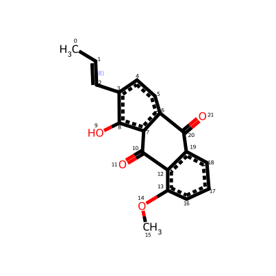 C/C=C/c1ccc2c(c1O)C(=O)c1c(OC)cccc1C2=O